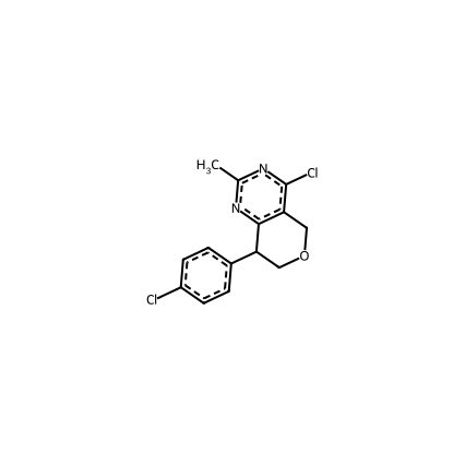 Cc1nc(Cl)c2c(n1)C(c1ccc(Cl)cc1)COC2